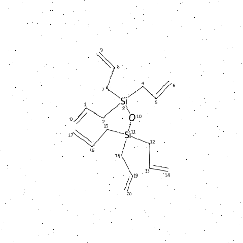 C=CC[Si](CC=C)(CC=C)O[Si](CC=C)(CC=C)CC=C